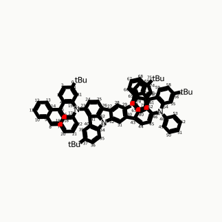 CC(C)(C)c1ccc(-c2cccc3ccccc23)c(N(c2ccccc2)c2ccc3c4cc5c(cc4n4c6ccc(C(C)(C)C)cc6c2c34)c2ccc(N(c3ccccc3)c3cc(C(C)(C)C)ccc3-c3cccc4ccccc34)c3c4cc(C(C)(C)C)ccc4n5c23)c1